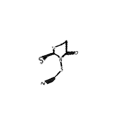 N#CSN1C(=O)CSC1=S